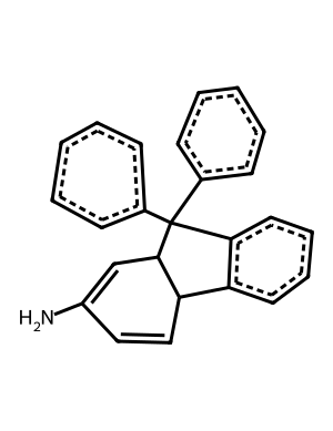 NC1=CC2C(C=C1)c1ccccc1C2(c1ccccc1)c1ccccc1